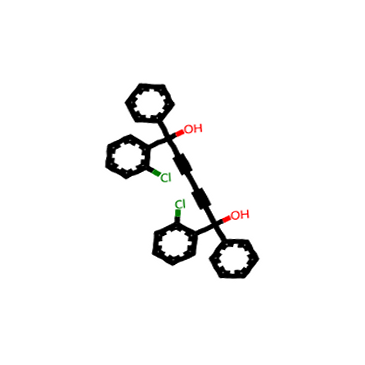 OC(C#CC#CC(O)(c1ccccc1)c1ccccc1Cl)(c1ccccc1)c1ccccc1Cl